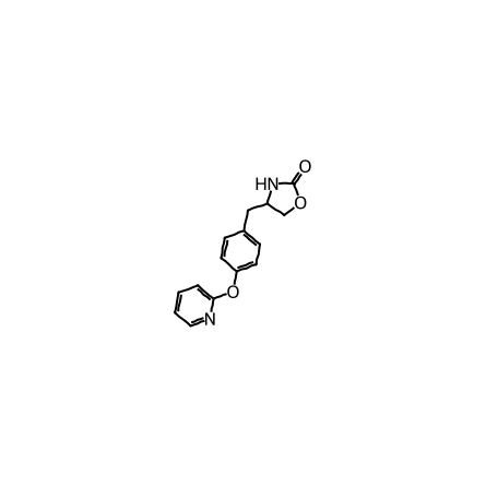 O=C1NC(Cc2ccc(Oc3ccccn3)cc2)CO1